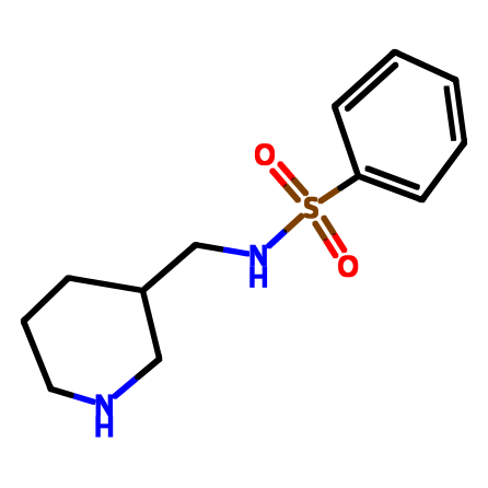 O=S(=O)(NCC1CCCNC1)c1ccccc1